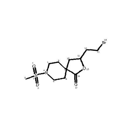 CS(=O)(=O)N1CCC2(CC1)CC(CCBr)OC2=O